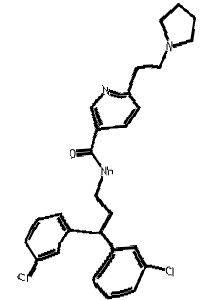 O=C(NCCC(c1cccc(Cl)c1)c1cccc(Cl)c1)c1ccc(CCN2CCCC2)nc1